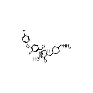 NCC1CCC(CC(NS(=O)(=O)c2ccc(Oc3ccc(F)cc3)c(F)c2)C(=O)NO)CC1